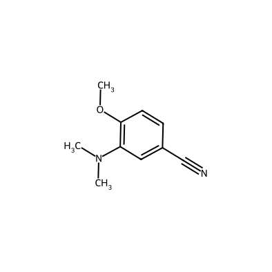 COc1ccc(C#N)cc1N(C)C